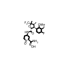 COc1c([C@H]2[C@H](C(=O)Nc3cc[n+]([O-])c(/C(N)=N/O)c3)O[C@@](C)(C(F)(F)F)[C@H]2C)ccc(F)c1F